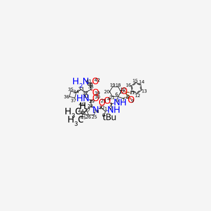 CC(C)(C)[C@H](NC(=O)NC1(CS(=O)(=O)c2ccccc2)CCCCC1)C(=O)N1CC2[C@@H]([C@H]1C(=O)NC(CC1CCC1)C(=O)C(N)=O)C2(C)C